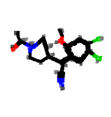 COc1cc(Cl)c(Cl)cc1C(C#N)C1CCN(C(C)=O)CC1